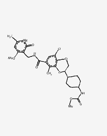 COc1cc(C)[nH]c(=O)c1CNC(=O)c1cc(Cl)c2c(c1C)OC(C1CCC(NC(=O)OC(C)(C)C)CC1)CO2